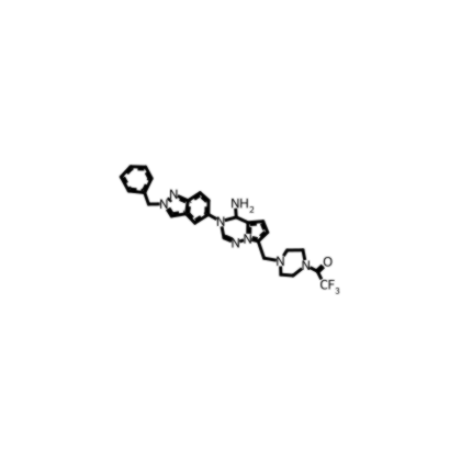 NC1c2ccc(CN3CCN(C(=O)C(F)(F)F)CC3)n2N=CN1c1ccc2nn(Cc3ccccc3)cc2c1